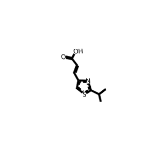 CC(C)c1nc(C=CC(=O)O)cs1